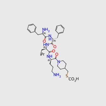 CC(C)C[C@@H](NC(=O)[C@@H](Cc1ccccc1)NC(=O)[C@H](N)Cc1ccccc1)C(=O)N[C@H](CCCN)C(=O)N1CCC(CSC(=O)O)CC1